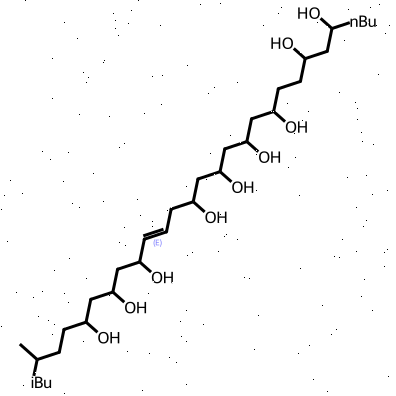 CCCCC(O)CC(O)CCC(O)CC(O)CC(O)CC(O)C/C=C/C(O)CC(O)CC(O)CCC(C)C(C)CC